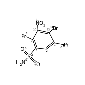 CC(C)c1cc(S(N)(=O)=O)c(C(C)C)c([N+](=O)[O-])c1Br